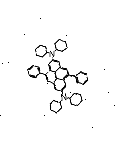 c1ccc(-c2cc3cc(N(C4CCCCC4)C4CCCCC4)cc4c(-c5ccccc5)cc5cc(N(C6CCCCC6)C6CCCCC6)cc2c5c34)cc1